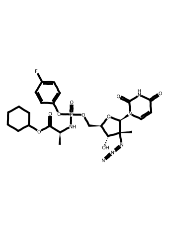 C[C@H](NP(=O)(OC[C@H]1O[C@@H](n2ccc(=O)[nH]c2=O)[C@](C)(N=[N+]=[N-])[C@@H]1O)Oc1ccc(F)cc1)C(=O)OC1CCCCC1